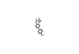 C[C@H](Oc1ccc(-c2cnc(Cl)cn2)cn1)C(F)(F)F